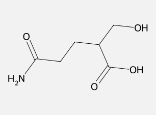 NC(=O)CCC(CO)C(=O)O